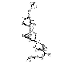 Nc1c[nH]c2ccc(-c3cnn(-c4ccc(OCC(F)(F)F)cc4)c3)cc12